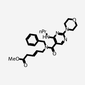 CCCNc1nc(N2CCOCC2)ncc1C(=O)N(C/C=C/CC(=O)OC)Cc1ccccc1